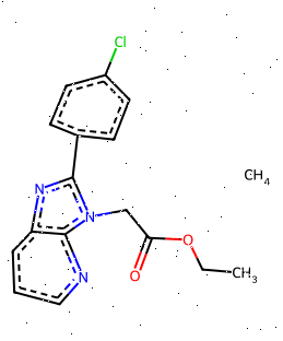 C.CCOC(=O)Cn1c(-c2ccc(Cl)cc2)nc2cccnc21